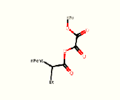 CCCCCC(CC)C(=O)OC(=O)C(=O)OC(C)(C)C